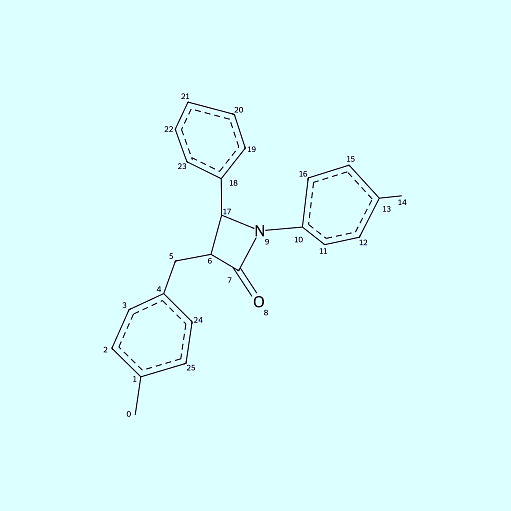 Cc1ccc(CC2C(=O)N(c3ccc(C)cc3)C2c2ccccc2)cc1